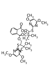 COc1cc(OC)nc(SC(COC(=O)c2ccccc2C(=O)OCC(Sc2nc(OC)cc(OC)n2)C(C)(C)C)C(C)(C)C)n1